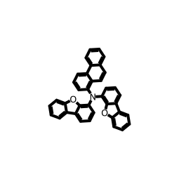 c1ccc2c(c1)ccc1c(N(c3cccc4c3oc3ccccc34)c3cccc4c3oc3ccccc34)cccc12